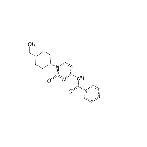 O=C(Nc1ccn(C2CCC(CO)CC2)c(=O)n1)c1ccccc1